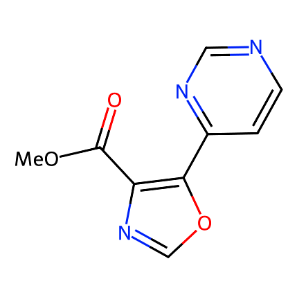 COC(=O)c1ncoc1-c1ccncn1